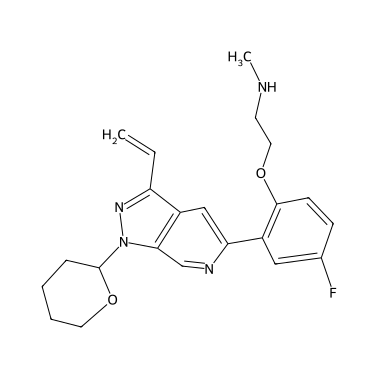 C=Cc1nn(C2CCCCO2)c2cnc(-c3cc(F)ccc3OCCNC)cc12